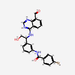 O=[C]c1cccc2c(NC(CO)c3cccc(NC(=O)c4ccc(Br)cc4)c3)ncnc12